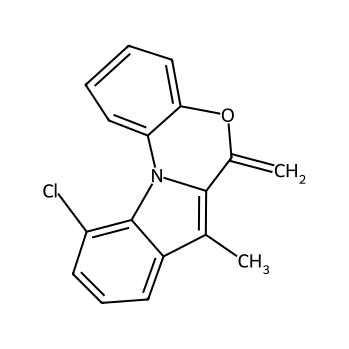 C=C1Oc2ccccc2-n2c1c(C)c1cccc(Cl)c12